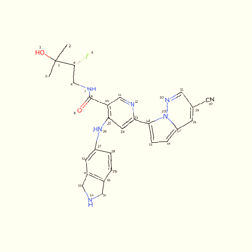 CC(C)(O)[C@H](F)CNC(=O)c1cnc(-c2ccc3cc(C#N)cnn23)cc1Nc1ccc2c(c1)CNC2